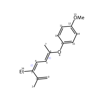 C=C(C)/C(=C\C=C(/C)Oc1ccc(OC)cc1)CC